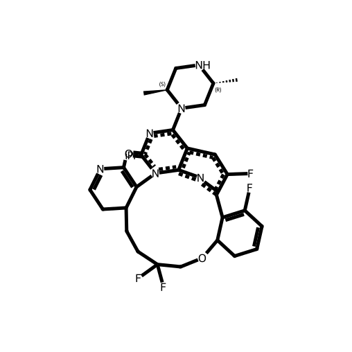 CC(C)C1=C2C(CC=N1)CCC(F)(F)COC1CC=CC(F)=C1c1nc3c(cc1F)c(N1C[C@@H](C)NC[C@@H]1C)nc(=O)n32